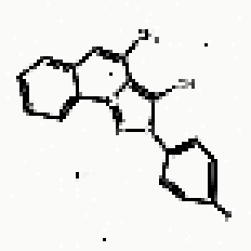 Cc1cc2ccccc2[n+]2nn(-c3ccc(F)cc3)c(O)c12.[OH-]